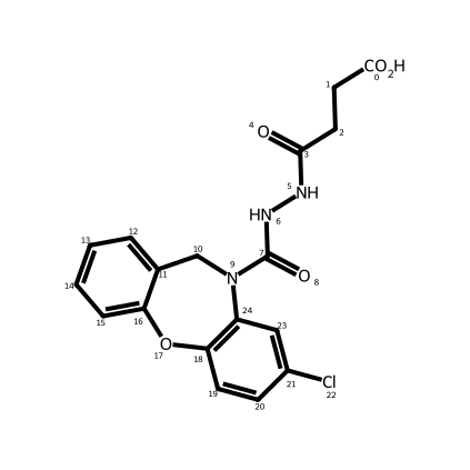 O=C(O)CCC(=O)NNC(=O)N1Cc2ccccc2Oc2ccc(Cl)cc21